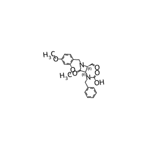 COc1ccc(CN2C(=O)[C@H](N(Cc3ccccc3)C(=O)O)[C@@H]2C=O)c(OC)c1